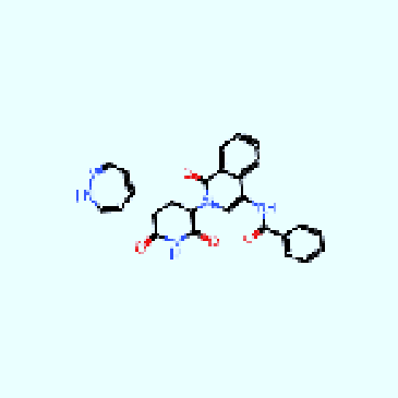 C1=CC=NNC=C1.O=C1CCC(n2cc(NC(=O)c3ccccc3)c3ccccc3c2=O)C(=O)N1